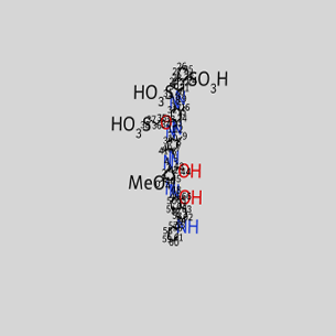 COc1cc(N=Nc2cc(C)c(N=Nc3cc(C)c(N=Nc4cc5c(S(=O)(=O)O)cccc5cc4S(=O)(=O)O)cc3OCCCS(=O)(=O)O)cc2C)c(CO)cc1N=Nc1ccc2cc(Nc3ccccc3)ccc2c1O